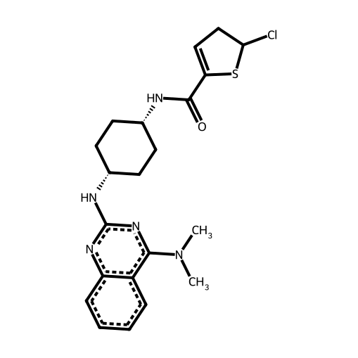 CN(C)c1nc(N[C@H]2CC[C@@H](NC(=O)C3=CCC(Cl)S3)CC2)nc2ccccc12